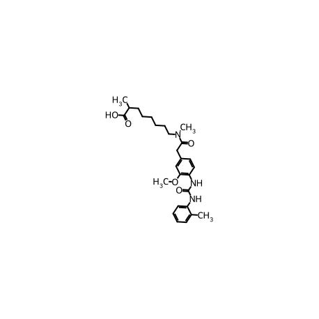 COc1cc(CC(=O)N(C)CCCCCCC(C)C(=O)O)ccc1NC(=O)Nc1ccccc1C